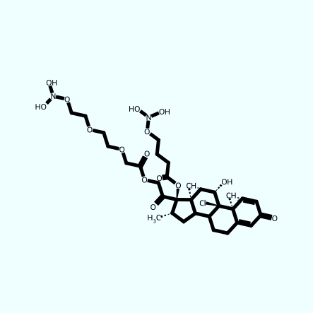 C[C@H]1CC2C3CCC4=CC(=O)C=C[C@]4(C)[C@@]3(Cl)[C@@H](O)C[C@]2(C)[C@@]1(OC(=O)CCCON(O)O)C(=O)COC(=O)COCCOCCON(O)O